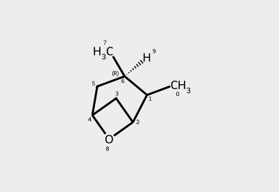 CC1C2CC(C[C@H]1C)O2